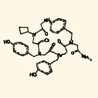 NCC(=O)N(CC(=O)N(CC(=O)N(CC(=O)N(CC(N)=O)Cc1ccccc1)Cc1ccc(O)cc1)Cc1ccc(O)cc1)C1CCC1